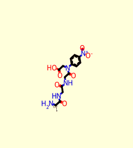 C[C@H](N)C(=O)NCC(=O)NCC(=O)N(CC(=O)O)c1ccc([N+](=O)[O-])cc1